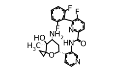 C[C@]1(O)[C@H](N)C[C@H](c2ccncc2NC(=O)c2ccc(F)c(-c3c(F)cccc3F)n2)OC12CC2